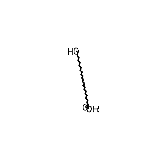 O=C(O)CCCCCCCCCCCCCCCCCCCCCCCCCO